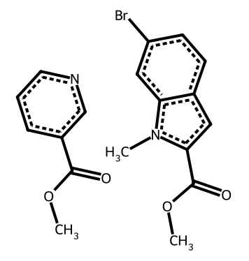 COC(=O)c1cc2ccc(Br)cc2n1C.COC(=O)c1cccnc1